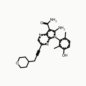 Cc1ccc(O)c(C)c1-n1c(N)c(C(N)=O)c2ncc(C#CCC3CCOCC3)nc21